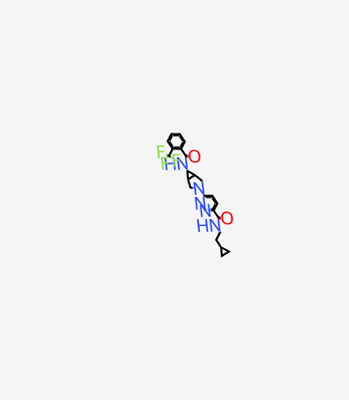 O=C(NCCC1CC1)c1ccc(N2CC3C(C2)C3NC(=O)c2ccccc2C(F)(F)F)nn1